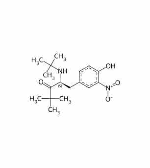 CC(C)(C)N[C@@H](Cc1ccc(O)c([N+](=O)[O-])c1)C(=O)C(C)(C)C